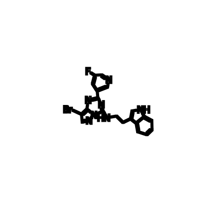 Fc1cncc(-c2nc(NCCc3c[nH]c4ccccc34)n3ncc(Br)c3n2)c1